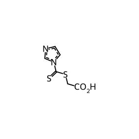 O=C(O)CSC(=S)n1ccnc1